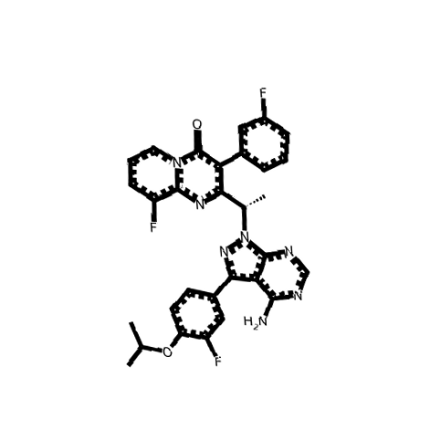 CC(C)Oc1ccc(-c2nn([C@@H](C)c3nc4c(F)cccn4c(=O)c3-c3cccc(F)c3)c3ncnc(N)c23)cc1F